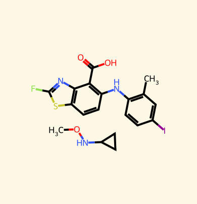 CONC1CC1.Cc1cc(I)ccc1Nc1ccc2sc(F)nc2c1C(=O)O